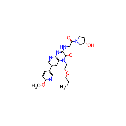 CCCOCCn1c(=O)c(NCC(=O)N2CC[C@H](O)C2)nc2ncc(-c3ccc(OC)nc3)cc21